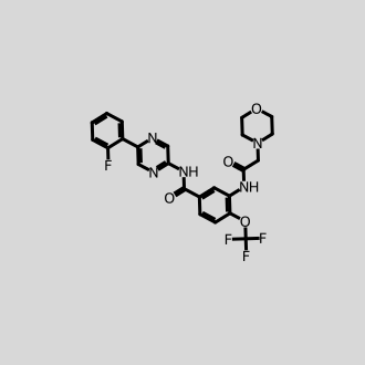 O=C(CN1CCOCC1)Nc1cc(C(=O)Nc2cnc(-c3ccccc3F)cn2)ccc1OC(F)(F)F